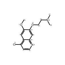 COc1cc2c(Cl)ccnc2cc1OCCN(C)C